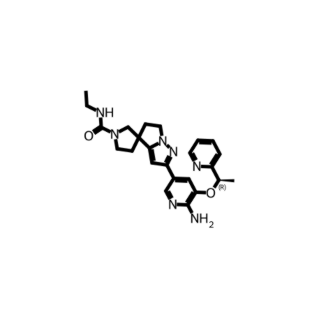 CCNC(=O)N1CCC2(CCn3nc(-c4cnc(N)c(O[C@H](C)c5ccccn5)c4)cc32)C1